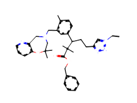 CCn1cc(CCC(c2ccc(C)c(CN3Cc4ncccc4OC(C)(C)C3)c2)C(C)(C)C(=O)OCc2ccccc2)nn1